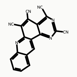 N#Cc1nc(C#N)c2c(C#N)c(C#N)c3nc4ccccc4cc3c2n1